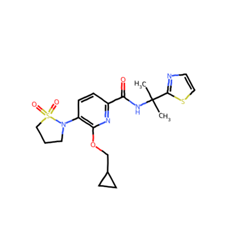 CC(C)(NC(=O)c1ccc(N2CCCS2(=O)=O)c(OCC2CC2)n1)c1nccs1